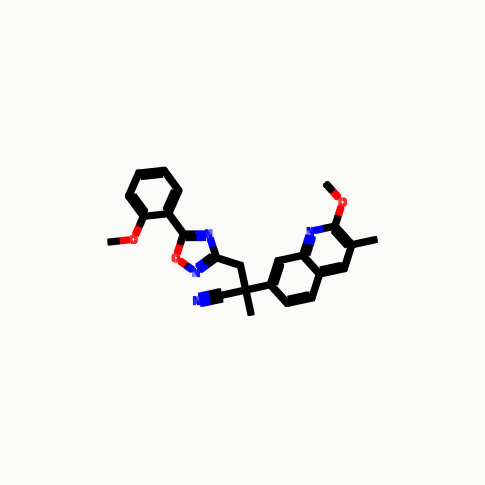 COc1ccccc1-c1nc(CC(C)(C#N)c2ccc3cc(C)c(OC)nc3c2)no1